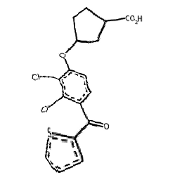 O=C(c1cccs1)c1ccc(OC2CCC(C(=O)O)C2)c(Cl)c1Cl